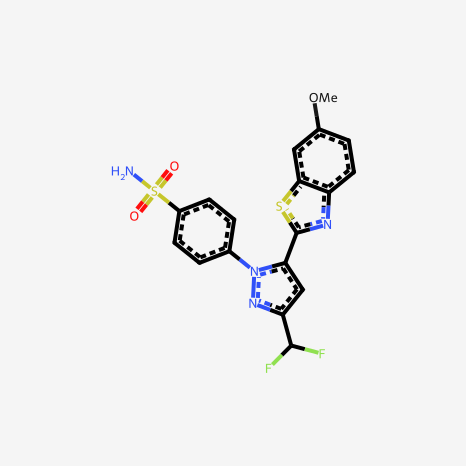 COc1ccc2nc(-c3cc(C(F)F)nn3-c3ccc(S(N)(=O)=O)cc3)sc2c1